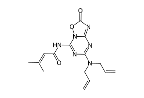 C=CCN(CC=C)c1nc(NC(=O)C=C(C)C)n2oc(=O)nc2n1